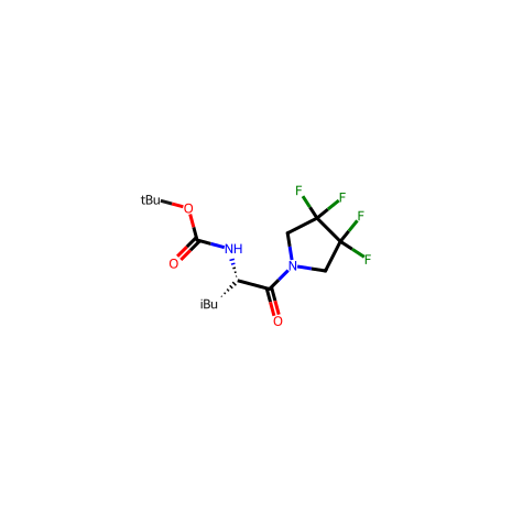 CC[C@@H](C)[C@H](NC(=O)OC(C)(C)C)C(=O)N1CC(F)(F)C(F)(F)C1